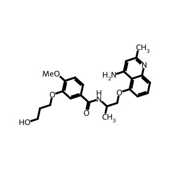 COc1ccc(C(=O)NC(C)COc2cccc3nc(C)cc(N)c23)cc1OCCCO